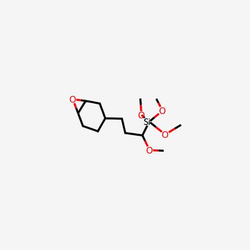 COC(CCC1CCC2OC2C1)[Si](OC)(OC)OC